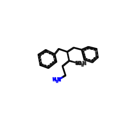 NCCC(C(Cc1ccccc1)Cc1ccccc1)S(=O)(=O)O